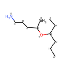 CCCC(CC)OC([SiH3])CCCN